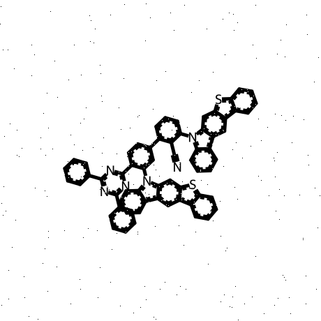 N#Cc1c(-c2ccc(-c3nc(-c4ccccc4)nc(-c4ccccc4)n3)c(-n3c4ccccc4c4cc5c(cc43)sc3ccccc35)c2)cccc1-n1c2ccccc2c2cc3c(cc21)sc1ccccc13